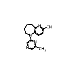 Cc1cncc(N2CCCCc3nc(C#N)ccc32)n1